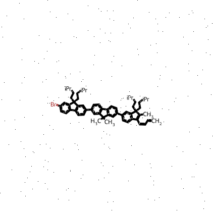 C=C/C=C\C1=C(C)C(CCC(C)C)(CCC(C)C)c2cc(-c3ccc4c(c3)C(C)(C)c3cc(-c5ccc6c(c5)C(CCC(C)C)(CCC(C)C)c5cc(Br)ccc5-6)ccc3-4)ccc21